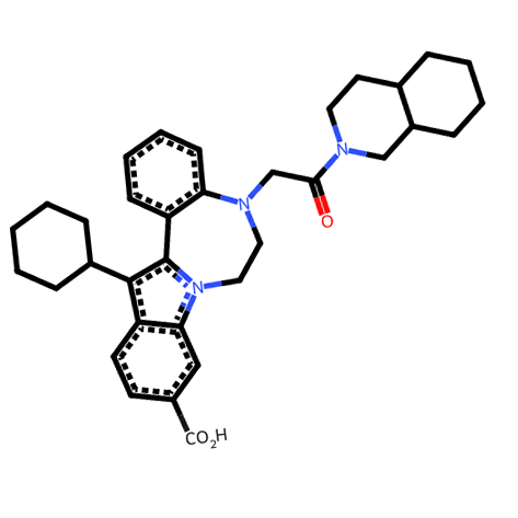 O=C(O)c1ccc2c(C3CCCCC3)c3n(c2c1)CCN(CC(=O)N1CCC2CCCCC2C1)c1ccccc1-3